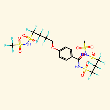 CS(=O)(=O)NS(=O)(=O)C(F)(F)C(F)(F)C(F)(F)S(=O)(=O)NC(=O)c1ccc(OCC(F)(F)C(F)(F)C(F)(F)S(=O)(=O)NS(=O)(=O)C(F)(F)F)cc1